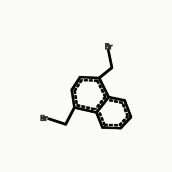 BrCc1ccc(CBr)c2ccccc12